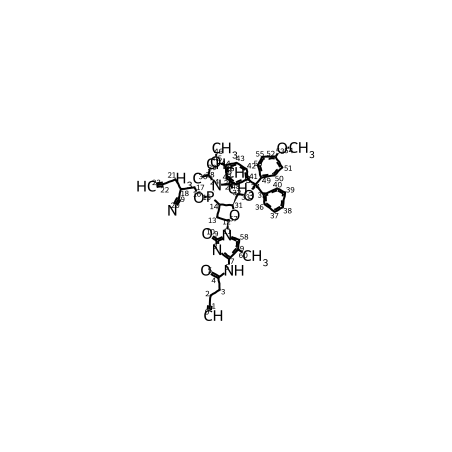 C#CCCC(=O)Nc1nc(=O)n([C@H]2CC(P(OCC(C#N)CC#C)N(C(C)C)C(C)C)[C@@H](COC(c3ccccc3)(c3ccc(OC)cc3)c3ccc(OC)cc3)O2)cc1C